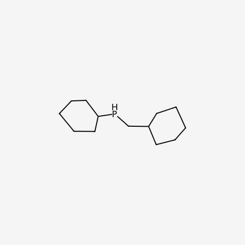 C1CCC(CPC2CCCCC2)CC1